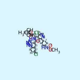 COC(=O)Nc1ccc(-c2cc(C(CC(=O)OC(C)(C)C)NC(=O)C=Cc3cc(Cl)ccc3-n3cnnn3)c(Cl)nn2)cc1